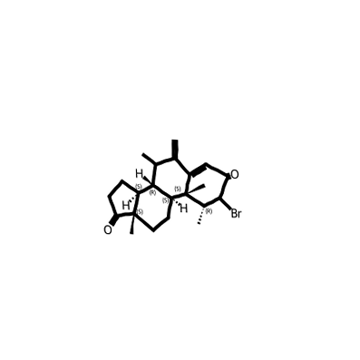 C=C1C2=CC(=O)C(Br)[C@H](C)[C@]2(C)[C@H]2CC[C@]3(C)C(=O)CC[C@H]3[C@@H]2C1C